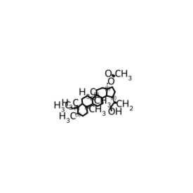 C=C(CO)[C@@H]1CC[C@]2(COC(C)=O)CC[C@]3(C)C(CCC4[C@@]5(C)CC[C@H](C)[C@@](C)(CC)C5CC[C@]43C)C12